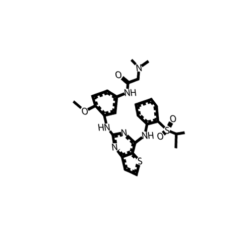 COc1ccc(NC(=O)CN(C)C)cc1Nc1nc(Nc2ccccc2S(=O)(=O)C(C)C)c2sccc2n1